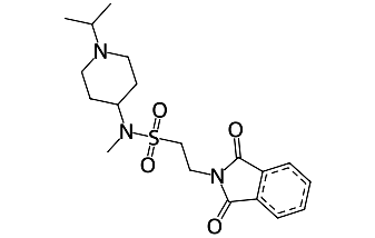 CC(C)N1CCC(N(C)S(=O)(=O)CCN2C(=O)c3ccccc3C2=O)CC1